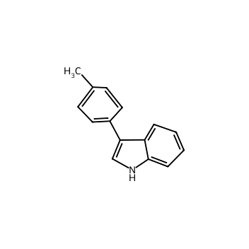 Cc1ccc(-c2c[nH]c3ccccc23)cc1